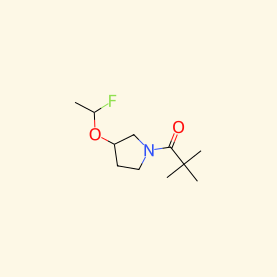 CC(F)OC1CCN(C(=O)C(C)(C)C)C1